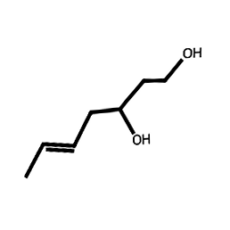 C/C=C/CC(O)CCO